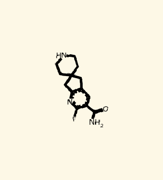 NC(=O)c1cc2c(nc1F)CC1(CCNCC1)C2